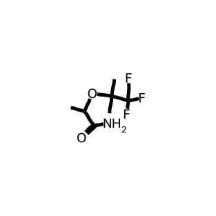 CC(OC(C)(C)C(F)(F)F)C(N)=O